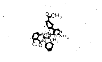 CC(=O)c1cccc(-c2cnc(N)nc2N[C@@H](C)c2nc3cccc(Cl)c3c(=O)n2-c2ccccc2)c1